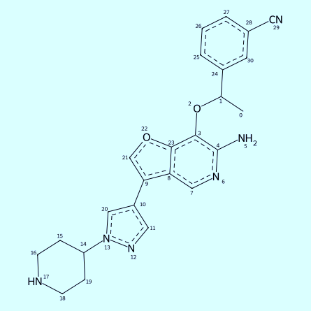 CC(Oc1c(N)ncc2c(-c3cnn(C4CCNCC4)c3)coc12)c1cccc(C#N)c1